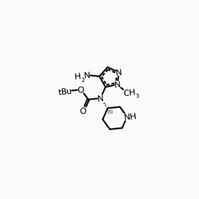 Cn1ncc(N)c1N(C(=O)OC(C)(C)C)[C@H]1CCCNC1